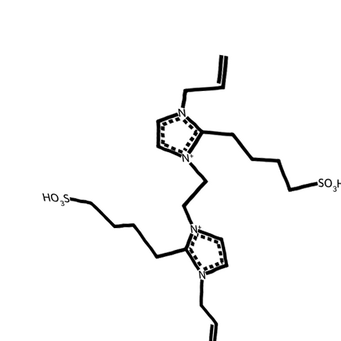 C=CCn1cc[n+](CC[n+]2ccn(CC=C)c2CCCCS(=O)(=O)O)c1CCCCS(=O)(=O)O